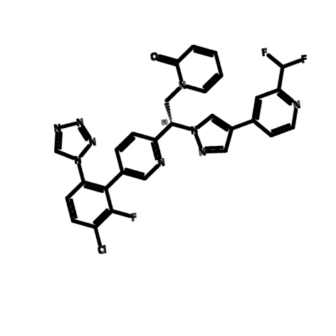 O=c1ccccn1C[C@@H](c1ccc(-c2c(-n3cnnn3)ccc(Cl)c2F)cn1)n1cc(-c2ccnc(C(F)F)c2)cn1